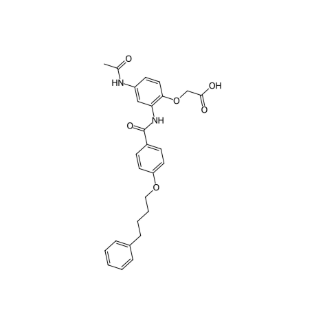 CC(=O)Nc1ccc(OCC(=O)O)c(NC(=O)c2ccc(OCCCCc3ccccc3)cc2)c1